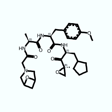 COc1ccc(C[C@H](NC(=O)[C@H](C)NC(=O)CN2CC3CC(C2)O3)C(=O)N[C@@H](CC2CCCC2)C(=O)[C@@]2(C)CO2)cc1